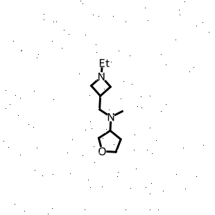 CCN1CC(CN(C)C2CCOC2)C1